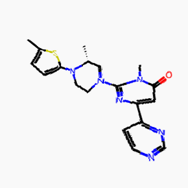 Cc1ccc(N2CCN(c3nc(-c4ccncn4)cc(=O)n3C)C[C@H]2C)s1